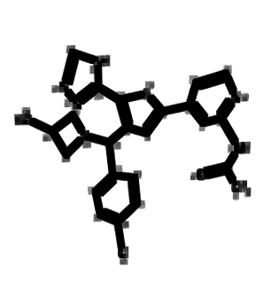 CC(=O)Nc1cc(-c2cc(C(c3ccc(Cl)cc3)N3CC(O)C3)c(-c3nnc[nH]3)s2)ccn1